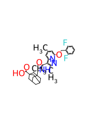 Cc1cc(OCc2c(F)cccc2F)n2nc(C)c(C(=O)NCC34CC5CC(C3)CC(C(=O)O)(C5)C4C)c2c1